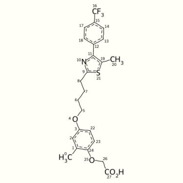 Cc1cc(OCCCCc2nc(-c3ccc(C(F)(F)F)cc3)c(C)s2)ccc1OCC(=O)O